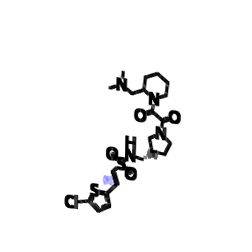 CN(C)CC1CCCCN1C(=O)C(=O)N1CC[C@H](CNS(=O)(=O)/C=C/c2ccc(Cl)s2)C1